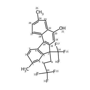 Cc1ccc2c(c1)C(CCC(F)(F)F)(C(F)(F)F)c1cc(O)c3cc(C)ccc3c1-2